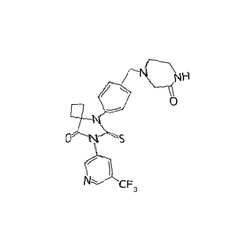 O=C1CN(Cc2ccc(N3C(=S)N(c4cncc(C(F)(F)F)c4)C(=O)C34CCC4)cc2)CCN1